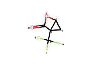 O=C1OC2CC12C(F)(F)F